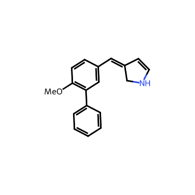 COc1ccc(C=C2C=CNC2)cc1-c1ccccc1